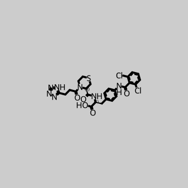 O=C(Nc1ccc(C[C@H](NC(=O)[C@@H]2CSCCN2C(=O)CCc2nnn[nH]2)C(=O)O)cc1)c1c(Cl)cccc1Cl